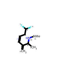 C=C(/C=C\CC(F)F)C(C)NNC